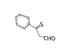 O=[C]CC(=S)c1ccccc1